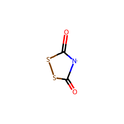 O=C1[N]C(=O)SS1